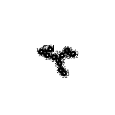 CC1(c2ccccc2)c2ccccc2-c2ccc(-c3ccc(N(c4ccc(-c5ccc6ccccc6c5)cc4)c4ccc(-c5cccc6c5sc5ccccc56)cc4)cc3)cc21